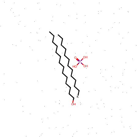 CCCCCCCCCCCCCCO.CCCCCCCCCCC[CH2][K].O=P(O)(O)O